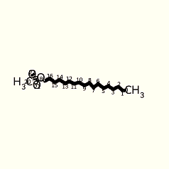 CCCCCCCCCCCCCCCCCCOS(C)(=O)=O